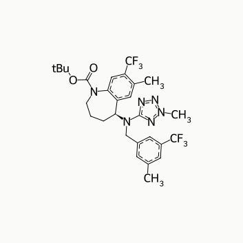 Cc1cc(CN(c2nnn(C)n2)[C@H]2CCCN(C(=O)OC(C)(C)C)c3cc(C(F)(F)F)c(C)cc32)cc(C(F)(F)F)c1